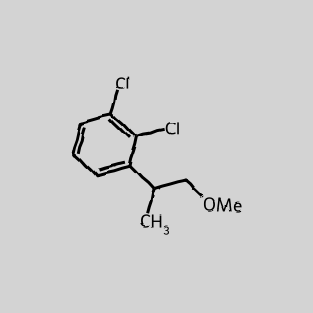 COC[C](C)c1cccc(Cl)c1Cl